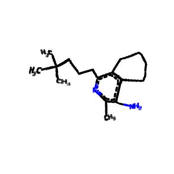 Cc1nc(CCCC(C)(C)C)c2c(c1N)CCCC2